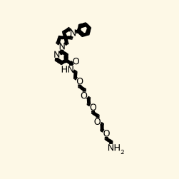 NCCOCCOCCOCCOCCOCCNC(=O)c1ccnc(N2CCC3(CCN(c4ccccc4)C3)C2)c1